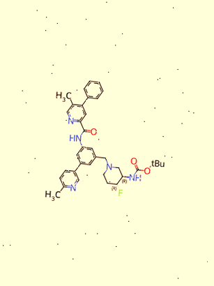 Cc1ccc(-c2cc(CN3CC[C@@H](F)[C@H](NC(=O)OC(C)(C)C)C3)cc(NC(=O)c3cc(-c4ccccc4)c(C)cn3)c2)cn1